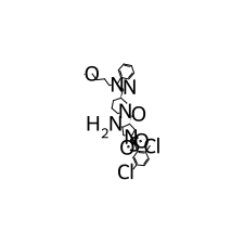 COCCCn1c([C@@H]2CCCN(C(=O)[C@@H]3CN(S(=O)(=O)c4cc(Cl)ccc4Cl)CC3N)C2)nc2ccccc21